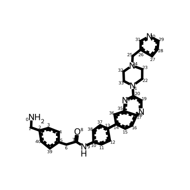 NCc1ccc(CC(=O)Nc2ccc(-c3ccc4ncc(N5CCN(Cc6cccnc6)CC5)nc4c3)cc2)cc1